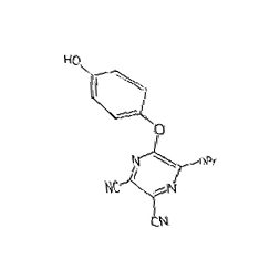 CCCc1nc(C#N)c(C#N)nc1Oc1ccc(O)cc1